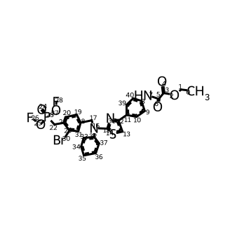 CCOC(=O)C(=O)Nc1ccc(-c2csc(N(Cc3ccc(CP(=O)(OF)OF)c(Br)c3)c3ccccc3)n2)cc1